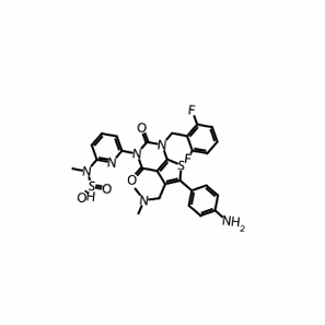 CN(C)Cc1c(-c2ccc(N)cc2)sc2c1c(=O)n(-c1cccc(N(C)[SH](=O)=O)n1)c(=O)n2Cc1c(F)cccc1F